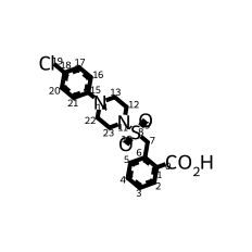 O=C(O)c1ccccc1CS(=O)(=O)N1CCN(c2ccc(Cl)cc2)CC1